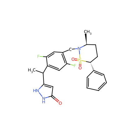 CC(c1cc(=O)[nH][nH]1)c1cc(F)c(CN2[C@@H](C)CC[C@H](c3ccccc3)S2(=O)=O)cc1F